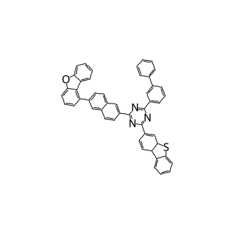 C1=CC2c3ccccc3SC2C=C1c1nc(-c2cccc(-c3ccccc3)c2)nc(-c2ccc3cc(-c4cccc5oc6ccccc6c45)ccc3c2)n1